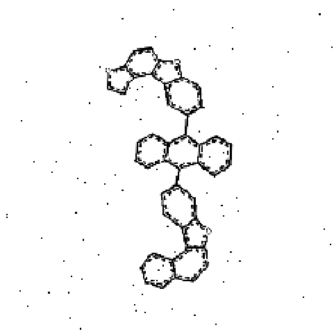 c1ccc2c(c1)ccc1oc3cc(-c4c5ccccc5c(-c5ccc6oc7ccc8occc8c7c6c5)c5ccccc45)ccc3c12